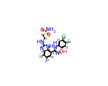 NS(=O)(=O)CCNc1nc2c(F)c(F)cc(/C(=N/O)Nc3ccc(F)c(Cl)c3)c2[nH]1